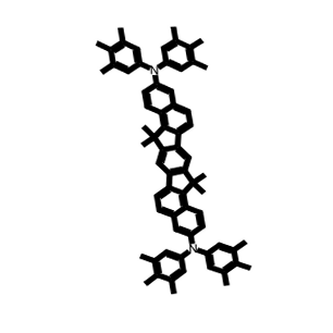 Cc1cc(N(c2cc(C)c(C)c(C)c2)c2ccc3c4c(ccc3c2)-c2cc3c(cc2C4(C)C)-c2ccc4cc(N(c5cc(C)c(C)c(C)c5)c5cc(C)c(C)c(C)c5)ccc4c2C3(C)C)cc(C)c1C